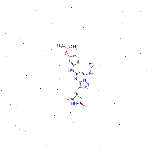 CC(C)Oc1cccc(Nc2cc(NC3CC3)n3ncc(/C=C4\CC(=O)NC4=O)c3n2)c1